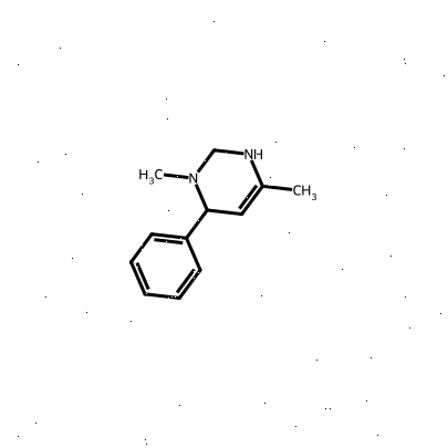 CC1=CC(c2ccccc2)N(C)CN1